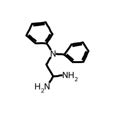 NC(N)CN(c1ccccc1)c1ccccc1